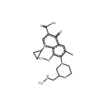 CNCC1CN(c2c(F)cc3c(=O)c(C(=O)O)cn(C4CC4)c3c2OC)CCO1